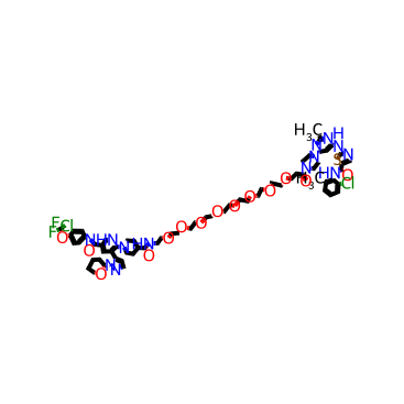 Cc1nc(Nc2ncc(C(=O)Nc3c(C)cccc3Cl)s2)cc(N2CCN(C(=O)CCOCCOCCOCCOCCOCCOCCOCCOCCNC(=O)C3CCN(c4ncc(C(=O)Nc5ccc(OC(F)(F)Cl)cc5)cc4-c4ccnn4C4CCCCO4)CC3)CC2)n1